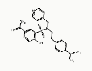 CC(C)c1ccc(CCN(Cc2ccncc2)S(=O)(=O)c2cc(C(=N)N)ccc2O)cc1